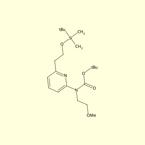 COCCN(C(=O)OC(C)(C)C)c1cccc(CCO[Si](C)(C)C(C)(C)C)n1